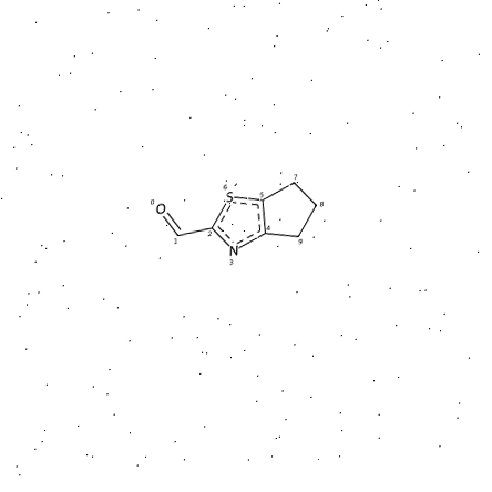 O=Cc1nc2c(s1)CCC2